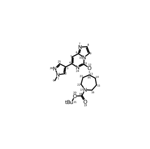 Cn1cc(-c2cc3nccn3c(O[C@@H]3CCCN(C(=O)OC(C)(C)C)CC3)n2)cn1